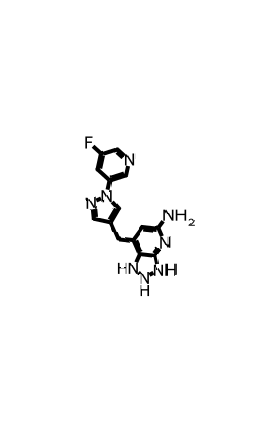 Nc1cc(Cc2cnn(-c3cncc(F)c3)c2)c2c(n1)NNN2